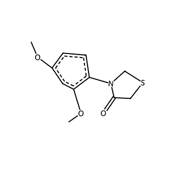 COc1ccc(N2CSCC2=O)c(OC)c1